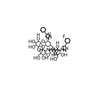 CCC[C@H](OC1C(NC(C)=O)[C@H](O[C@@H]2CC(CO[C@H]3OC(CO)[C@@H](O)C(n4cc(-c5cccc(F)c5)nn4)C3O)CC(n3cc(-c4ccccc4)nn3)C2O[C@@H]2OC(C)[C@H](O)C(O)C2O)OC(CO)[C@@H]1O)C(=O)O